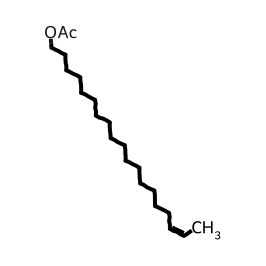 C/C=C\CCCCCCCCCCCCCCCCOC(C)=O